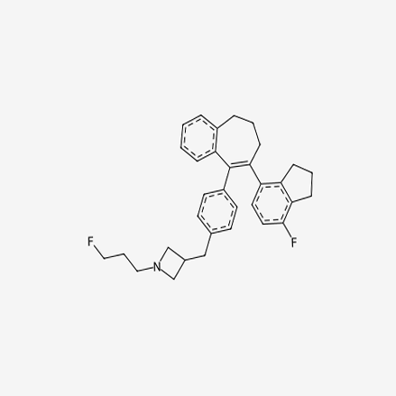 FCCCN1CC(Cc2ccc(C3=C(c4ccc(F)c5c4CCC5)CCCc4ccccc43)cc2)C1